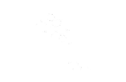 COc1cc(C(=O)OCCOC(=O)[C@H](C)NC(=O)OC(C)(C)C)ccc1NC(=O)[C@@H]1NC(CC(C)(C)C)[C@](C#N)(c2ccc(Cl)cc2F)[C@H]1c1cccc(Cl)c1F